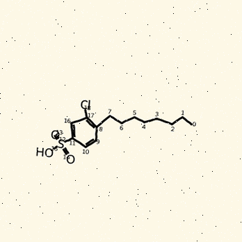 CCCCCCCCc1ccc(S(=O)(=O)O)cc1Cl